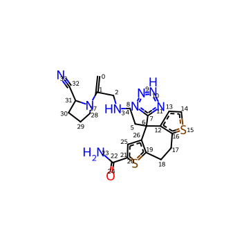 C=C(CNCCC1(c2nn[nH]n2)c2ccsc2CCc2sc(C(N)=O)cc21)N1CCCC1C#N